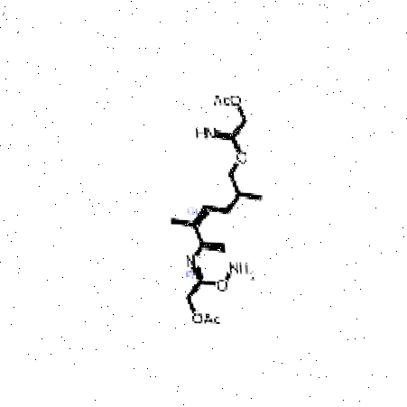 C=C(/N=C(/COC(C)=O)ON)/C(C)=C\CC(C)COC(=N)COC(C)=O